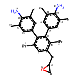 Cc1cc(-c2c(C(C)C)cc(CC3CO3)c(C(C)C)c2-c2cc(C)c(N)c(C)c2)cc(C)c1N